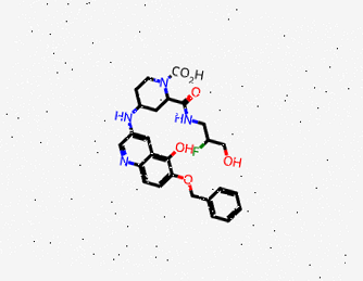 O=C(NCC(F)CO)C1CC(Nc2cnc3ccc(OCc4ccccc4)c(O)c3c2)CCN1C(=O)O